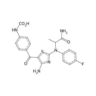 CC(C(N)=O)N(c1ccc(F)cc1)c1nc(N)c(C(=O)c2ccc(NC(=O)O)cc2)s1